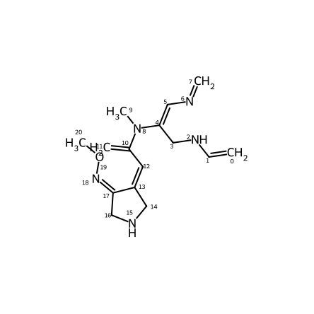 C=CNC/C(=C\N=C)N(C)C(=C)/C=C1/CNC/C1=N/OC